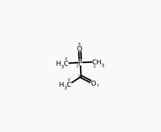 CC(=O)P(C)(C)=O